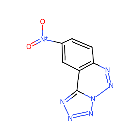 O=[N+]([O-])c1ccc2nnn3nnnc3c2c1